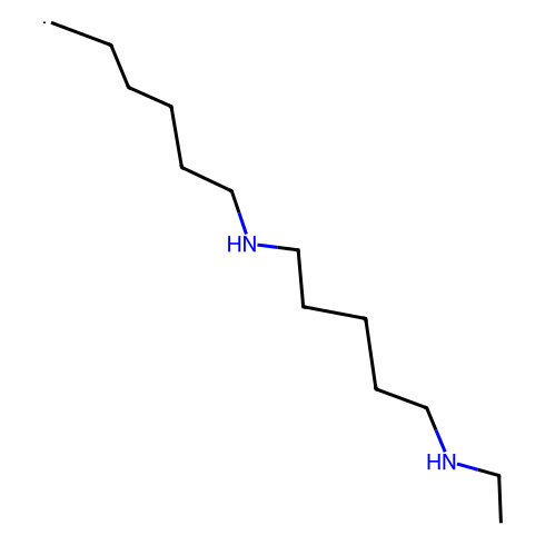 [CH2]CCCCCNCCCCCNCC